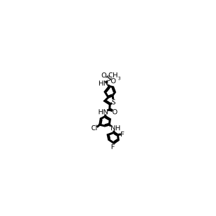 CS(=O)(=O)Nc1ccc2sc(C(=O)Nc3cc(Cl)cc(Nc4ccc(F)cc4F)c3)cc2c1